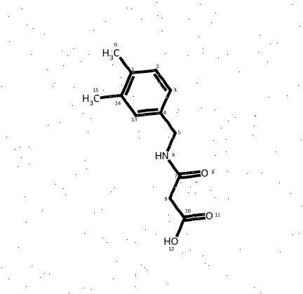 Cc1ccc(CNC(=O)CC(=O)O)cc1C